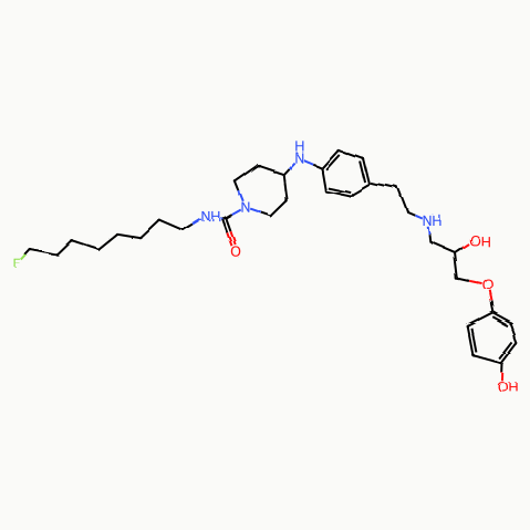 O=C(NCCCCCCCCF)N1CCC(Nc2ccc(CCNCC(O)COc3ccc(O)cc3)cc2)CC1